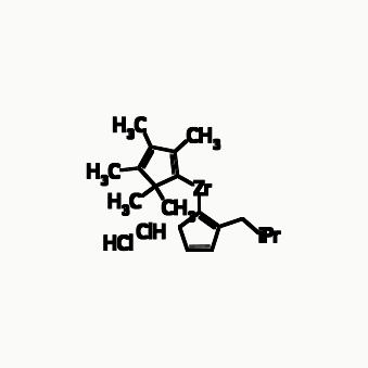 CC1=C(C)C(C)(C)[C]([Zr][C]2=C(CC(C)C)C=CC2)=C1C.Cl.Cl